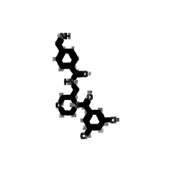 N=Cc1ccc(C(=O)NCC2COCCN2C(=O)c2cc(Cl)cc(Cl)c2)cc1